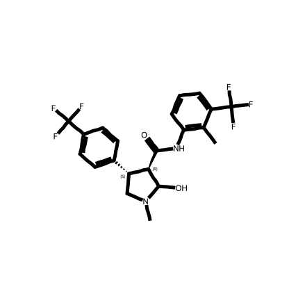 Cc1c(NC(=O)[C@H]2C(O)N(C)C[C@@H]2c2ccc(C(F)(F)F)cc2)cccc1C(F)(F)F